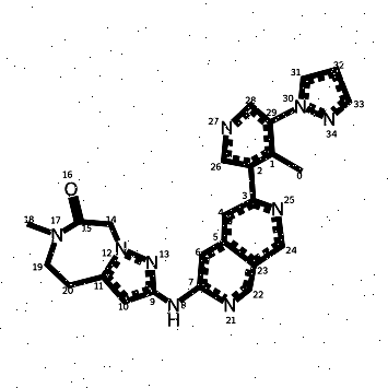 Cc1c(-c2cc3cc(Nc4cc5n(n4)CC(=O)N(C)CC5)ncc3cn2)cncc1-n1cccn1